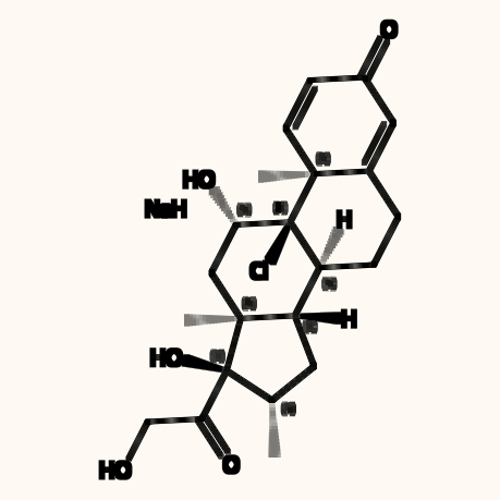 C[C@H]1C[C@H]2[C@@H]3CCC4=CC(=O)C=C[C@]4(C)[C@@]3(Cl)[C@@H](O)C[C@]2(C)[C@@]1(O)C(=O)CO.[NaH]